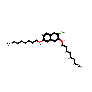 CCCCCCCCOc1ccc2cc(Cl)c(OCCCCCCCC)cc2c1